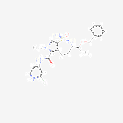 CC(OCc1ccccc1)[C@H]1CCc2c(cn(C)c2C(=O)Nc2ccnc(Cl)c2)S(=N)(=O)N1